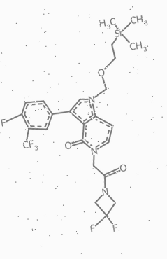 C[Si](C)(C)CCOCn1cc(-c2ccc(F)c(C(F)(F)F)c2)c2c(=O)n(CC(=O)N3CC(F)(F)C3)ccc21